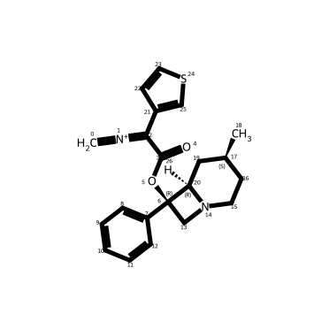 C=[N+]=C(C(=O)O[C@]1(c2ccccc2)CN2CC[C@H](C)C[C@@H]21)c1ccsc1